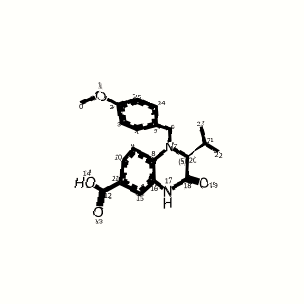 COc1ccc(CN2c3ccc(C(=O)O)cc3NC(=O)[C@@H]2C(C)C)cc1